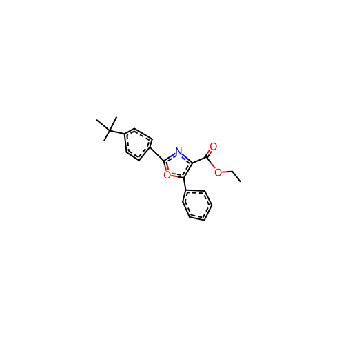 CCOC(=O)c1nc(-c2ccc(C(C)(C)C)cc2)oc1-c1ccccc1